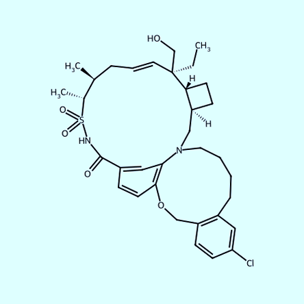 CC[C@@]1(CO)/C=C/C[C@H](C)[C@@H](C)S(=O)(=O)NC(=O)c2ccc3c(c2)N(CCCCc2cc(Cl)ccc2CO3)C[C@@H]2CC[C@H]21